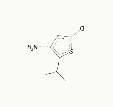 CC(C)c1sc(Cl)cc1N